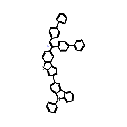 C(=C(/c1ccc(-c2ccccc2)cc1)c1ccc2sc3cc(-c4ccc5c(c4)c4ccccc4n5-c4ccccc4)ccc3c2c1)/c1ccc(-c2ccccc2)cc1